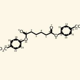 O=C(CCCCC(=O)Oc1ccc(C(=O)O)cc1)Oc1ccc(C(=O)O)cc1